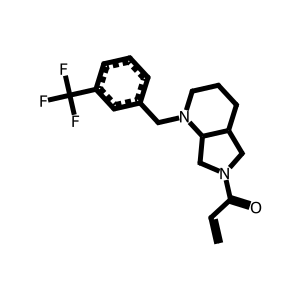 C=CC(=O)N1CC2CCCN(Cc3cccc(C(F)(F)F)c3)C2C1